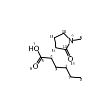 CCCCCC(=O)O.CN1CCCC1=O